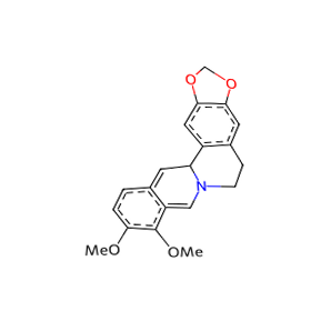 COc1ccc2c(c1OC)=CN1CCc3cc4c(cc3C1C=2)OCO4